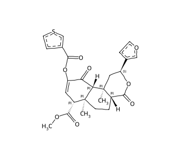 COC(=O)[C@@H]1C=C(OC(=O)c2ccsc2)C(=O)[C@H]2[C@@]1(C)CC[C@H]1C(=O)O[C@H](c3ccoc3)C[C@]21C